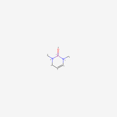 CN1C=CCN(C)[P]1=O